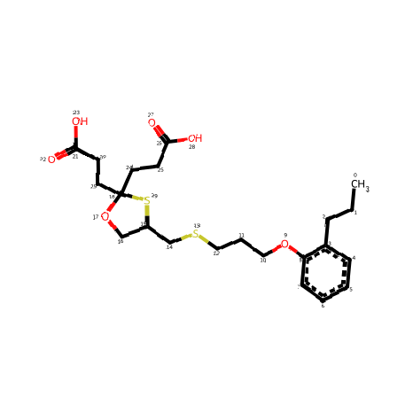 CCCc1ccccc1OCCCSCC1COC(CCC(=O)O)(CCC(=O)O)S1